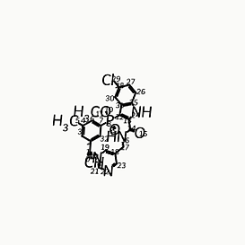 C#Cc1cc(C)cc(P(=O)(OC)c2c(C(=O)NCc3cncnc3)[nH]c3ccc(Cl)cc23)c1